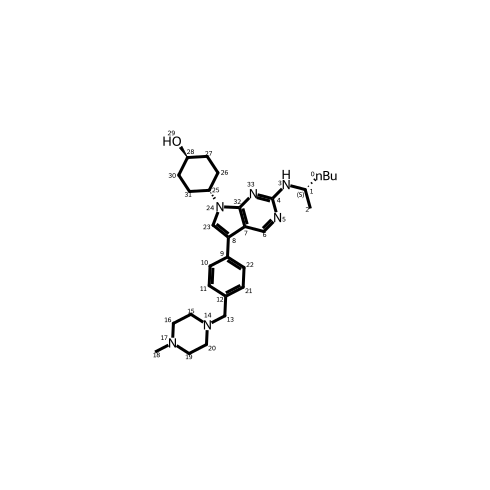 CCCC[C@H](C)Nc1ncc2c(-c3ccc(CN4CCN(C)CC4)cc3)cn([C@H]3CC[C@H](O)CC3)c2n1